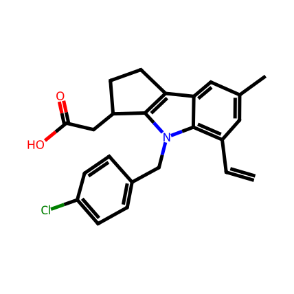 C=Cc1cc(C)cc2c3c(n(Cc4ccc(Cl)cc4)c12)C(CC(=O)O)CC3